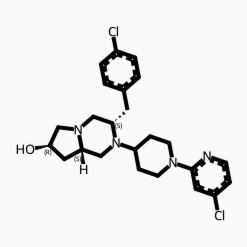 O[C@@H]1C[C@H]2CN(C3CCN(c4cc(Cl)ccn4)CC3)[C@@H](Cc3ccc(Cl)cc3)CN2C1